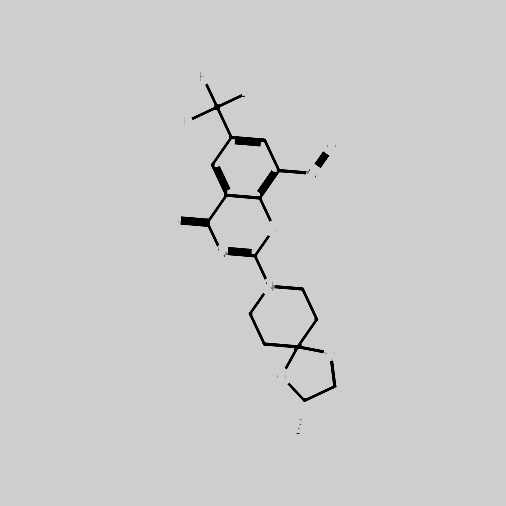 C[C@H]1COC2(CCN(c3nc(=O)c4cc(C(F)(F)F)cc(N=O)c4s3)CC2)O1